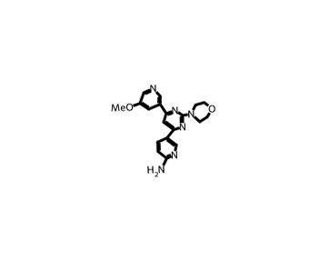 COc1cncc(-c2cc(-c3ccc(N)nc3)nc(N3CCOCC3)n2)c1